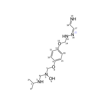 CC(C)NCN(O)COc1ccc(OCN/N=C\C=N)cc1